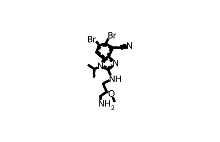 COC(CN)CNc1nc2c(C#N)c(Br)c(Br)cc2n1C(C)C